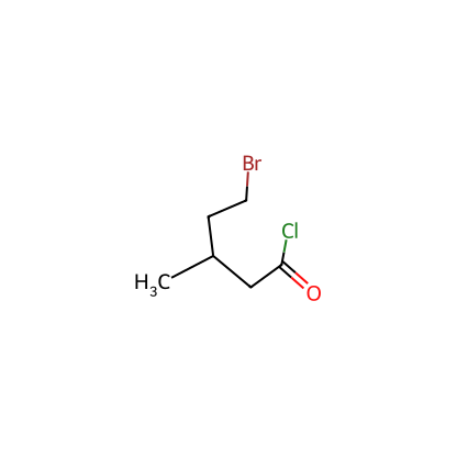 CC(CCBr)CC(=O)Cl